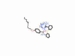 CCCCCCCOc1ccc(C(=O)Nc2ccccc2Sc2ccccc2-c2nnn[nH]2)cc1